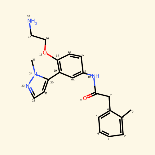 Cc1ccccc1CC(=O)Nc1ccc(OCCN)c(-c2ccnn2C)c1